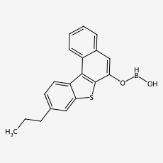 CCCc1ccc2c(c1)sc1c(OBO)cc3ccccc3c12